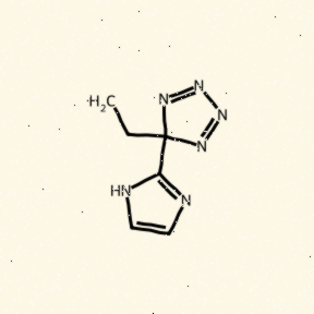 [CH2]CC1(c2ncc[nH]2)N=NN=N1